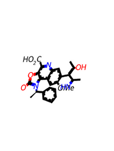 COc1cc2c(cc1/C(C(C)=N)=C(\C)O)nc(C(=O)O)c1oc(=O)n([C@H](C)c3ccccc3)c12